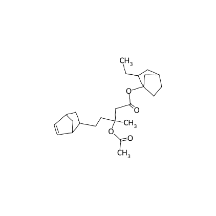 CCC1CC2CCC1(OC(=O)CC(C)(CCC1CC3C=CC1C3)OC(C)=O)C2